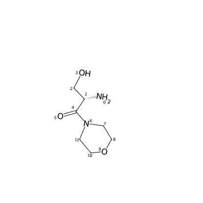 N[C@@H](CO)C(=O)N1CCOCC1